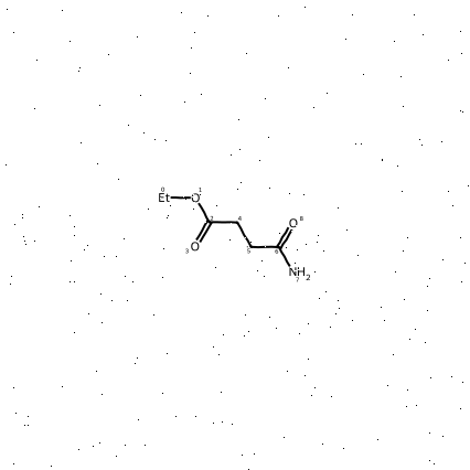 CCOC(=O)C[CH]C(N)=O